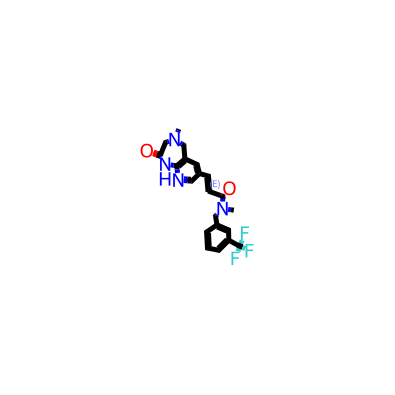 CN1CC(=O)Nc2ncc(/C=C/C(=O)N(C)Cc3cccc(C(F)(F)F)c3)cc2C1